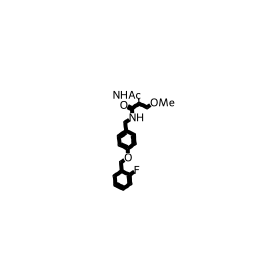 COC[C@@H](NC(C)=O)C(=O)NCc1ccc(OCC2CC=CC=C2F)cc1